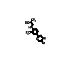 O=C1COC(c2ccc(NC[C@@H](O)C(F)(F)F)c(C(F)(F)F)c2)=NN1